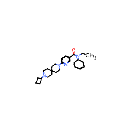 CCN(C(=O)c1ccc(N2CCC3(CC2)CCN(C2CCC2)CC3)nc1)C1CCCCC1